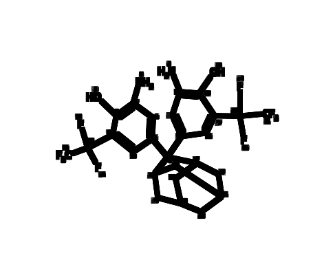 Nc1cc(C2(c3cc(N)c(O)c(C(F)(F)C(F)(F)F)c3)C3CC4CC(C3)CC2C4)cc(C(F)(F)C(F)(F)F)c1O